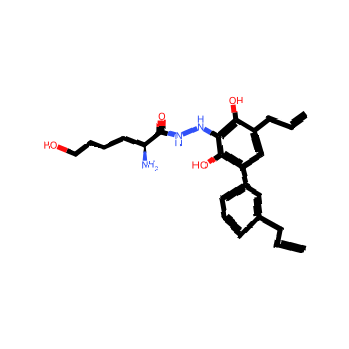 C=CCc1cccc(-c2cc(CC=C)c(O)c(NNC(=O)[C@@H](N)CCCCO)c2O)c1